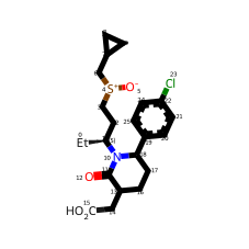 CC[C@@H](CC[S+]([O-])CC1CC1)N1C(=O)C(CC(=O)O)CCC1c1ccc(Cl)cc1